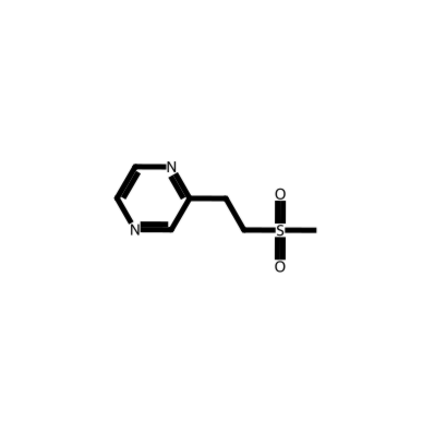 CS(=O)(=O)CCc1cnccn1